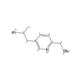 CC(C)C(C)Cc1ccc(CC(C)(C)C)nc1